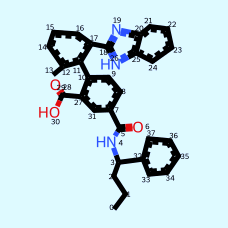 CCCC(NC(=O)c1ccc(-c2c(C)cccc2-c2nc3ccccc3[nH]2)c(C(=O)O)c1)c1ccccc1